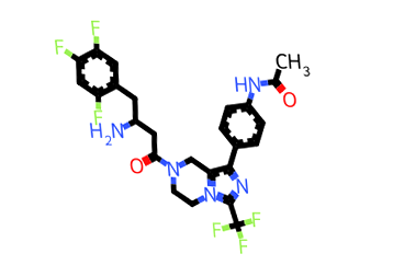 CC(=O)Nc1ccc(-c2nc(C(F)(F)F)n3c2CN(C(=O)CC(N)Cc2cc(F)c(F)cc2F)CC3)cc1